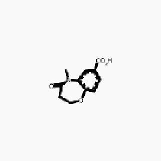 CN1C(=O)CCOc2ccc(C(=O)O)cc21